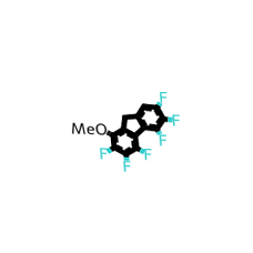 COc1c(F)c(F)c(F)c2c1Cc1cc(F)c(F)c(F)c1-2